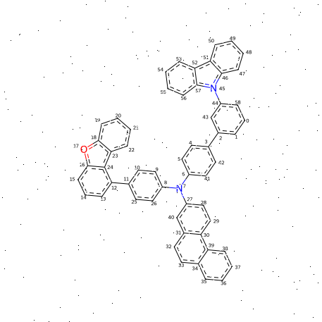 c1cc(-c2ccc(N(c3ccc(-c4cccc5oc6ccccc6c45)cc3)c3ccc4c(ccc5ccccc54)c3)cc2)cc(-n2c3ccccc3c3ccccc32)c1